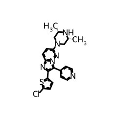 C[C@@H]1CN(c2ccc3nc(-c4ccc(Cl)s4)c(-c4ccncc4)n3n2)C[C@H](C)N1